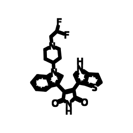 O=C1NC(=O)C(c2c[nH]c3ccsc23)=C1c1cn(C2CCN(CC(F)F)CC2)c2ccccc12